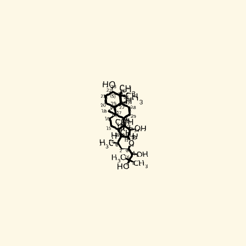 C[C@@H]1C[C@H]([C@@H](O)C(C)(C)O)O[C@H]2[C@@H]1[C@@]1(C)CC[C@@]34C[C@@]35CC[C@H](O)C(C)(C)[C@@H]5CC[C@H]4[C@]1(C)[C@H]2O